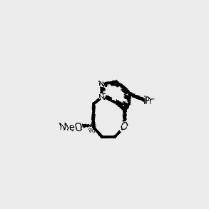 CO[C@@H]1CCOc2c(C(C)C)cnn2C1